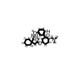 COc1cccc([C@@]2(O)C[C@H](OC(=O)CC3(CN)CCCCC3)CC[C@@H]2CN(C)C)c1